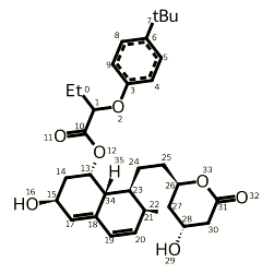 CCC(Oc1ccc(C(C)(C)C)cc1)C(=O)O[C@H]1C[C@H](O)C=C2C=C[C@H](C)[C@H](CC[C@@H]3C[C@@H](O)CC(=O)O3)[C@H]21